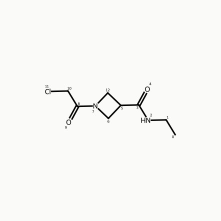 CCNC(=O)C1CN(C(=O)CCl)C1